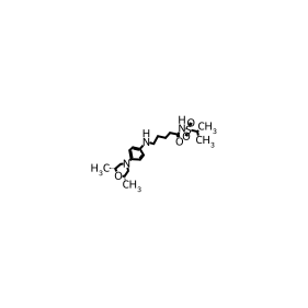 CC(C)S(=O)(=O)NC(=O)CCCCNc1ccc(N2C[C@@H](C)O[C@@H](C)C2)cc1